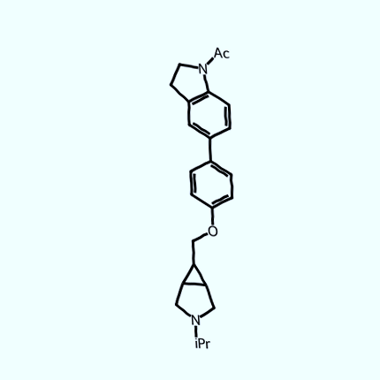 CC(=O)N1CCc2cc(-c3ccc(OCC4C5CN(C(C)C)CC45)cc3)ccc21